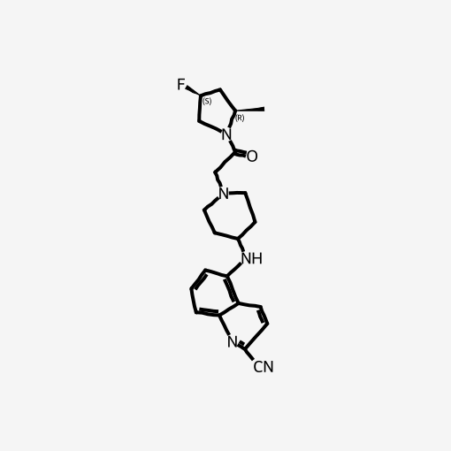 C[C@@H]1C[C@H](F)CN1C(=O)CN1CCC(Nc2cccc3nc(C#N)ccc23)CC1